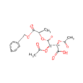 CC(=O)O[C@@H](C(=O)O)[C@@H](OC(C)=O)C(=O)OC(C)C(=O)OCc1ccccc1